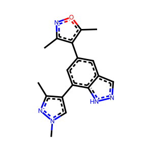 Cc1nn(C)cc1-c1cc(-c2c(C)noc2C)cc2cn[nH]c12